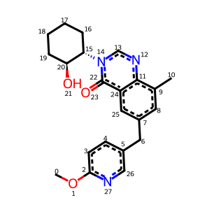 COc1ccc(Cc2cc(C)c3ncn([C@H]4CCCC[C@@H]4O)c(=O)c3c2)cn1